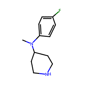 CN(c1ccc(F)cc1)C1CCNCC1